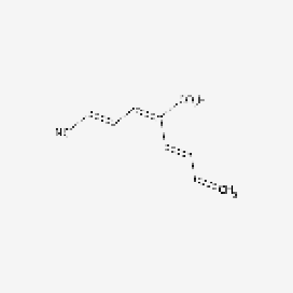 C=CC=CC(=CC=CC#N)C(=O)O